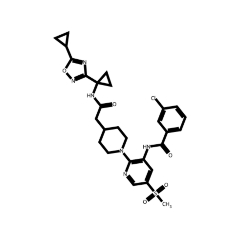 CS(=O)(=O)c1cnc(N2CCC(CC(=O)NC3(c4noc(C5CC5)n4)CC3)CC2)c(NC(=O)c2cccc(Cl)c2)c1